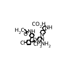 C=CC(=O)Nc1cccc(-c2cc(Cl)ccc2[C@@H](Oc2cc(N3CCC4(CC3)CNC(C(=O)O)C4)nc(N)n2)C(F)(F)F)c1